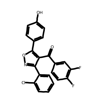 O=C(c1ccc(F)c(F)c1)c1c(-c2ccccc2Cl)noc1-c1ccc(O)cc1